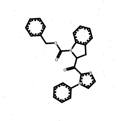 O=C(c1nccn1-c1ccccc1)C1Cc2ccccc2N1C(=O)OCc1ccccc1